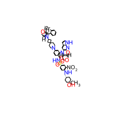 CC(C)c1ccccc1[C@@H]1[C@H]2C[C@H](CO2)N1C1CC2(CCN(c3ccc(C(=O)NS(=O)(=O)c4ccc(NC[C@H]5CC[C@](C)(O)CC5)c([N+](=O)[O-])c4)c(N4c5cc6cc[nH]c6nc5O[C@H]5COCC[C@@H]54)c3)CC2)C1